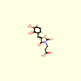 O=C(O)CCN1C(=O)/C(=C/c2cccc(O)c2O)SC1=S